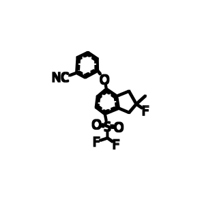 CC1(F)Cc2c(Oc3cccc(C#N)c3)ccc(S(=O)(=O)C(F)F)c2C1